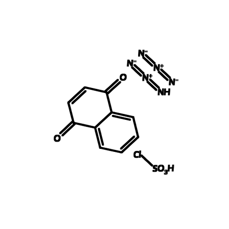 O=C1C=CC(=O)c2ccccc21.O=S(=O)(O)Cl.[N-]=[N+]=N.[N-]=[N+]=[N-]